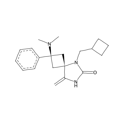 C=C1NC(=O)N(CC2CCC2)[C@]12C[C@](c1ccccc1)(N(C)C)C2